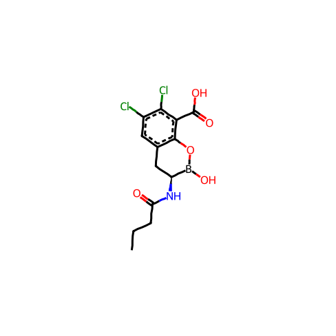 CCCC(=O)N[C@H]1Cc2cc(Cl)c(Cl)c(C(=O)O)c2OB1O